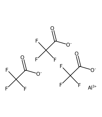 O=C([O-])C(F)(F)F.O=C([O-])C(F)(F)F.O=C([O-])C(F)(F)F.[Al+3]